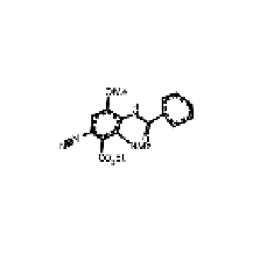 CCOC(=O)c1c([N+]#N)cc(OC)c(NC(=O)c2ccccc2)c1NC